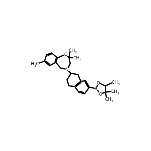 Cc1ccc2c(c1)CN(C1CCc3ccc(B4OC(C)C(C)(C)O4)cc3C1)CC(C)(C)O2